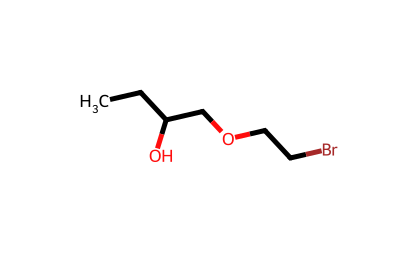 CCC(O)COCCBr